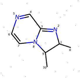 CC1N=C2C=NC=CN2C1C